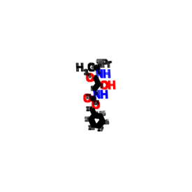 CC(C)[C@H](C)NC(=O)C(O)CNC(=O)OCc1ccccc1